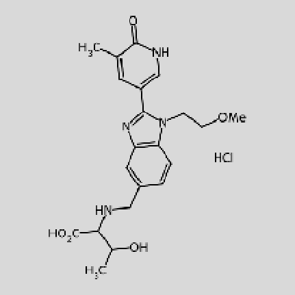 COCCn1c(-c2c[nH]c(=O)c(C)c2)nc2cc(CNC(C(=O)O)C(C)O)ccc21.Cl